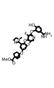 COC(=O)C12CCC(Oc3ccc(Oc4c(F)cnc(Oc5cc(C(=N)N)ccc5O)c4F)c(C4N=CCN4C)c3)(CC1)C2